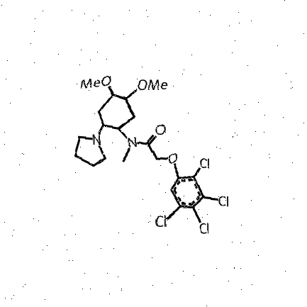 COC1CC(N2CCCC2)C(N(C)C(=O)COc2cc(Cl)c(Cl)c(Cl)c2Cl)CC1OC